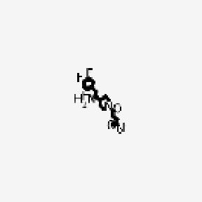 CN(C)C(=O)CCC(=O)N1CCC([C@H](N)Cc2cc(F)c(F)cc2F)CC1